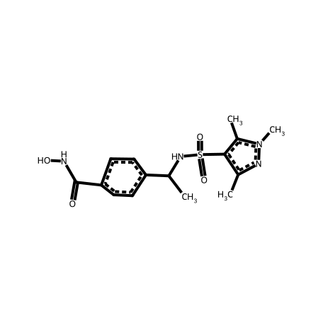 Cc1nn(C)c(C)c1S(=O)(=O)NC(C)c1ccc(C(=O)NO)cc1